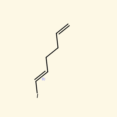 C=CCC/C=C/I